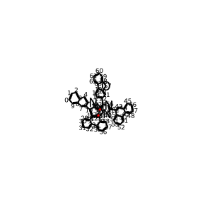 c1ccc2cc3c(cc2c1)c1ccccc1n3-c1cc2c(cc1-c1nc(-c3cc4ccccc4c4ccccc34)nc(-c3cc4ccccc4c4ccccc34)n1)oc1ccccc12